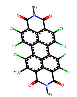 CCCN1C(=O)c2c(C)c(Cl)c3c4c(Cl)c(Cl)c5c6c(c(Cl)c(Cl)c(c7c(Cl)c(Cl)c(c2c37)C1=O)c64)C(=O)N(CCC)C5=O